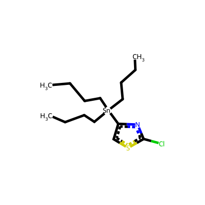 CCC[CH2][Sn]([CH2]CCC)([CH2]CCC)[c]1csc(Cl)n1